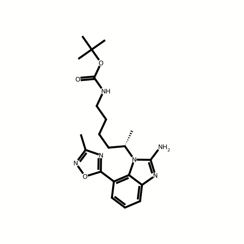 Cc1noc(-c2cccc3nc(N)n([C@@H](C)CCCCNC(=O)OC(C)(C)C)c23)n1